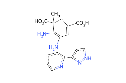 CC1(C(=O)O)CC(C(=O)O)=CC(N)=C1N.c1ccc(-c2cc[nH]n2)nc1